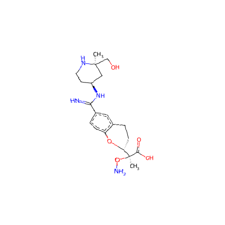 C[C@]1(CO)C[C@@H](NC(=N)c2ccc3c(c2)CC[C@H]([C@](C)(ON)C(=O)O)O3)CCN1